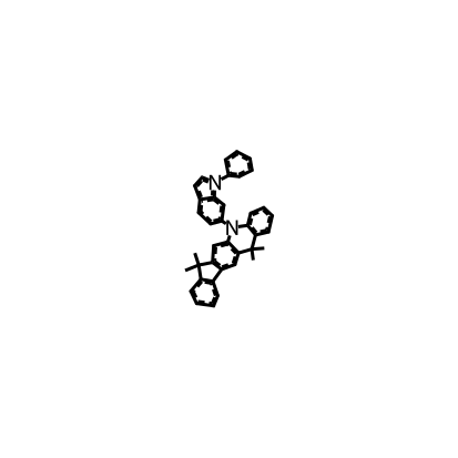 CC1(C)c2ccccc2-c2cc3c(cc21)N(c1ccc2ccn(-c4ccccc4)c2c1)c1ccccc1C3(C)C